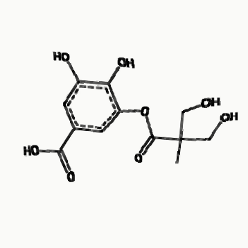 CC(CO)(CO)C(=O)Oc1cc(C(=O)O)cc(O)c1O